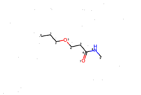 [CH2]CCOCCC(=O)NC